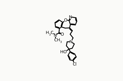 CN(C)C(=O)c1cccc2c1CC(=CCCN1CCC(O)(c3ccc(Cl)cc3)CC1)c1cccnc1O2